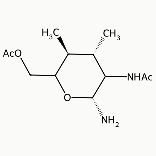 CC(=O)NC1[C@H](N)OC(COC(C)=O)[C@@H](C)[C@@H]1C